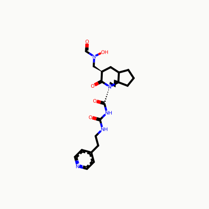 O=CN(O)C[C@H]1CC2CCCC23CC[C@@H](C(=O)NC(=O)NCCc2ccncc2)N3C1=O